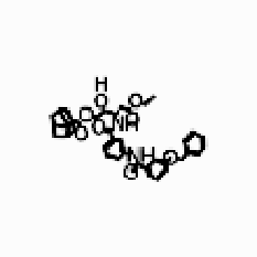 CCOC(=O)C[C@@H](NC(=O)c1cccc(NC(=O)c2cccc(OCc3ccccc3)c2)c1)[C@H](O)COC(=O)C12CC3CC(CC(C3)C1)C2